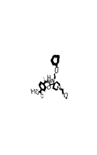 COCCN1CCC(NCCOc2ccccc2)(C(=O)N[C@@H](C)c2ccc(C(=O)O)cc2)CC1